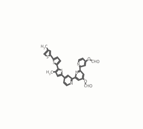 Cc1csc(-c2ccc(-c3sc(-c4ccnc(-c5cc(OC=O)cc(-c6cc(OC=O)ccn6)n5)c4)cc3C)s2)c1